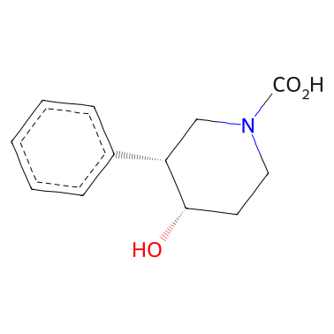 O=C(O)N1CC[C@H](O)[C@H](c2ccccc2)C1